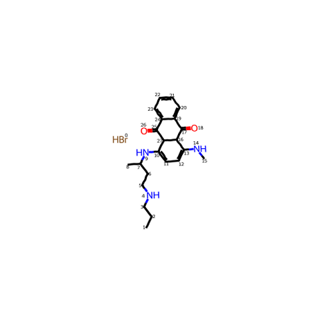 Br.CCCNCCC(C)NC1=CC=C(NC)C2C(=O)c3ccccc3C(=O)C12